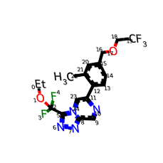 CCOC(F)(F)c1nnc2cnc(-c3ccc(COCC(F)(F)F)cc3C)cn12